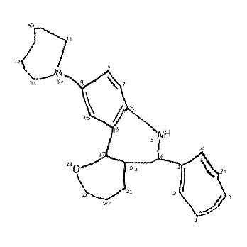 c1ccc(C2Nc3ccc(N4CCCC4)cc3C3OCCCC23)cc1